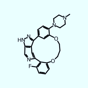 CN1CCN(c2ccc3cc2OCCCOc2cccc(F)c2-c2cc4c-3n[nH]c4cn2)CC1